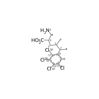 CC(CC(CN)C(=O)O)C(C)c1cc(Cl)c(Cl)c(Cl)c1Cl